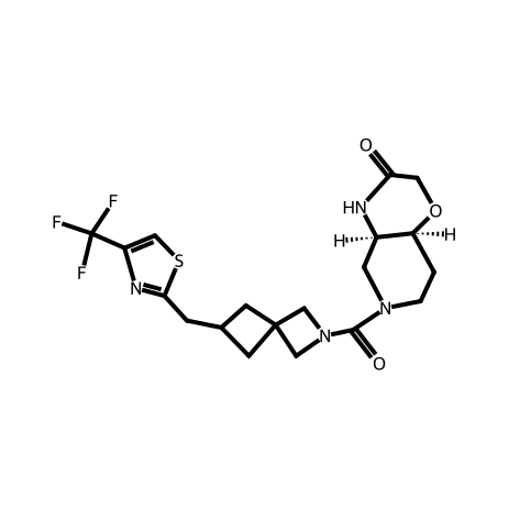 O=C1CO[C@H]2CCN(C(=O)N3CC4(CC(Cc5nc(C(F)(F)F)cs5)C4)C3)C[C@H]2N1